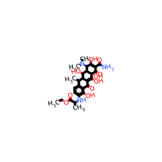 CCOC(=O)C(C)Nc1ccc2c(c1O)C(=O)C1=C(O)C3(O)C(=O)C(C(N)=O)=C(O)C(N(C)C)C3C(O)C1C2C